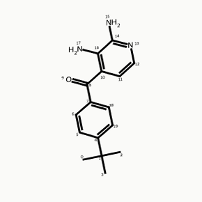 CC(C)(C)c1ccc(C(=O)c2ccnc(N)c2N)cc1